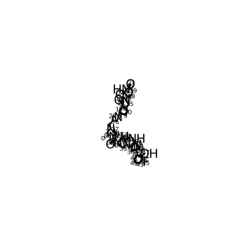 C[C@@H]1CN(CC2CN(c3ccc4c(c3)C(=O)N([C@@H]3CCC(=O)NC3=O)C4)C2)C[C@H](C)N1C(=O)N1CCN2c3cc(-c4cccc(F)c4O)nnc3NC[C@H]2C1